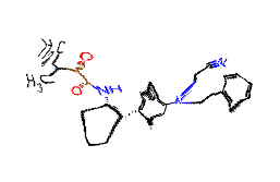 CC(C)S(=O)(=O)N[C@H]1CCC[C@H]1c1ccc(N(CC#N)Cc2ccccc2)cc1